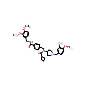 COc1ccc(CN2CCC(N(Cc3ccc(C(=O)NCc4ccc(OC)c(OC)c4)cc3)C(=O)C3CCC3)CC2)cc1O